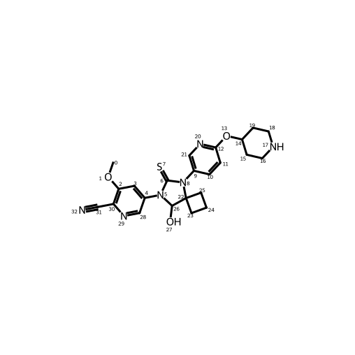 COc1cc(N2C(=S)N(c3ccc(OC4CCNCC4)nc3)C3(CCC3)C2O)cnc1C#N